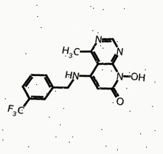 Cc1ncnc2c1c(NCc1cccc(C(F)(F)F)c1)cc(=O)n2O